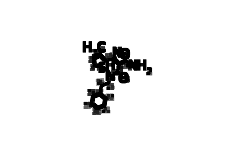 Cc1ccsc1-c1noc(N)c1C(=O)NCCc1ccccc1